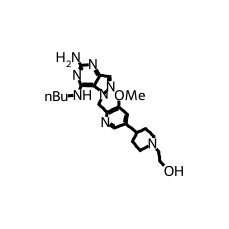 CCCCNc1nc(N)nc2cnn(Cc3ncc(C4CCN(CCO)CC4)cc3OC)c12